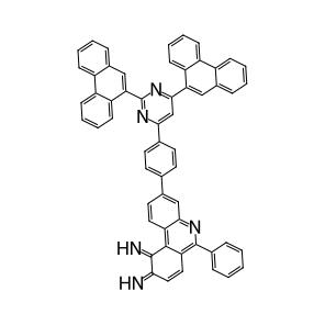 N=C1C=Cc2c(-c3ccccc3)nc3cc(-c4ccc(-c5cc(-c6cc7ccccc7c7ccccc67)nc(-c6cc7ccccc7c7ccccc67)n5)cc4)ccc3c2C1=N